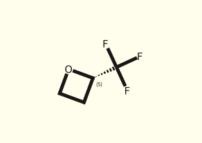 FC(F)(F)[C@@H]1CCO1